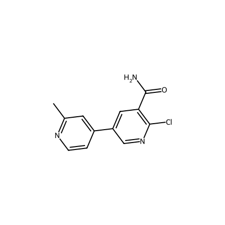 Cc1cc(-c2cnc(Cl)c(C(N)=O)c2)ccn1